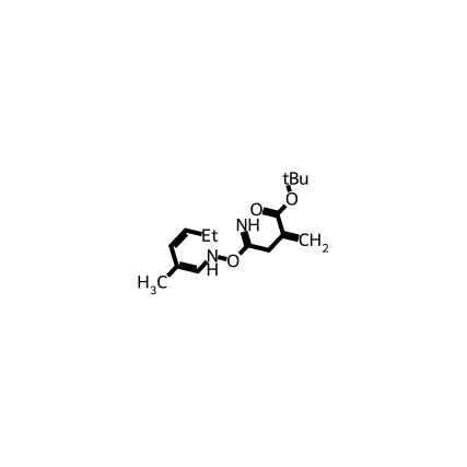 C=C(CC(=N)ON/C=C(C)\C=C/CC)C(=O)OC(C)(C)C